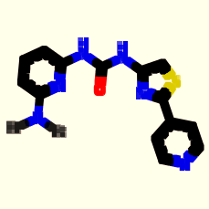 CCN(CC)c1cccc(NC(=O)Nc2csc(-c3ccncc3)n2)n1